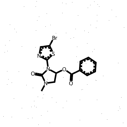 CN1CC(OC(=O)c2ccccc2)N(c2ncc(Br)s2)C1=O